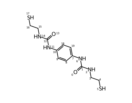 O=C(NCCS)Nc1ccc(NC(=O)NCCS)cc1